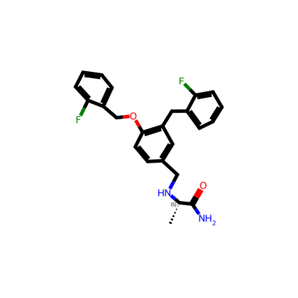 C[C@H](NCc1ccc(OCc2ccccc2F)c(Cc2ccccc2F)c1)C(N)=O